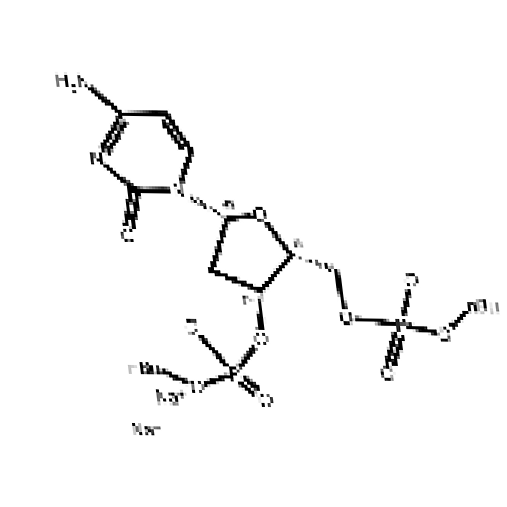 CCCCOP(=O)([O-])OC[C@H]1O[C@@H](n2ccc(N)nc2=O)C[C@@H]1OP(=O)([O-])OCCCC.[Na+].[Na+]